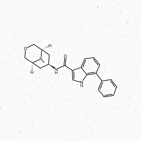 CN1[C@@H]2COC[C@H]1C[C@@H](NC(=O)c1c[nH]c3c(-c4ccccc4)cccc13)C2